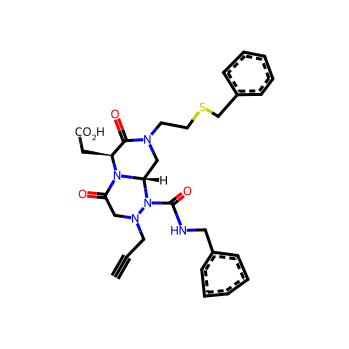 C#CCN1CC(=O)N2[C@@H](CC(=O)O)C(=O)N(CCSCc3ccccc3)C[C@@H]2N1C(=O)NCc1ccccc1